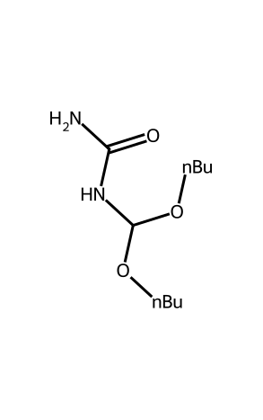 CCCCOC(NC(N)=O)OCCCC